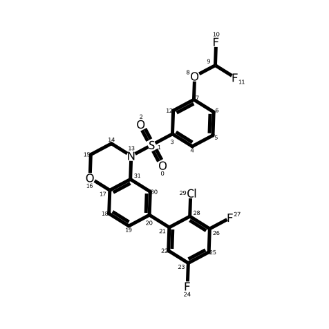 O=S(=O)(c1cccc(OC(F)F)c1)N1CCOc2ccc(-c3cc(F)cc(F)c3Cl)cc21